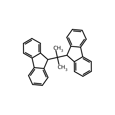 CC(C)(C1c2ccccc2-c2ccccc21)C1c2ccccc2-c2ccccc21